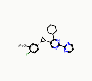 COc1cc([C@@H]2C[C@H]2c2cnc(-c3ncccn3)nc2C2CCCCC2)ccc1F